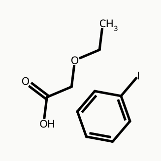 CCOCC(=O)O.Ic1ccccc1